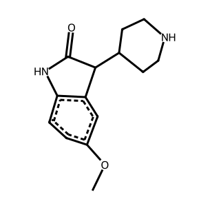 COc1ccc2c(c1)C(C1CCNCC1)C(=O)N2